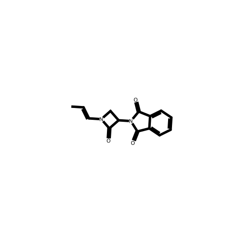 CC=CN1CC(N2C(=O)c3ccccc3C2=O)C1=O